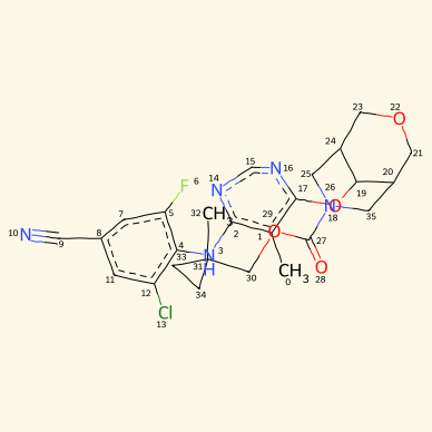 Cc1c(Nc2c(F)cc(C#N)cc2Cl)ncnc1OC1C2COCC1CN(C(=O)OCC1(C)CC1)C2